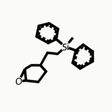 C[Si](CCC1CCC2OC2C1)(c1ccccc1)c1ccccc1